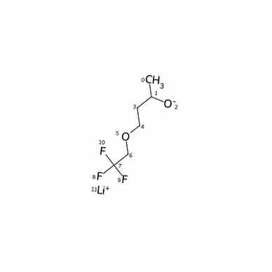 CC([O-])CCOCC(F)(F)F.[Li+]